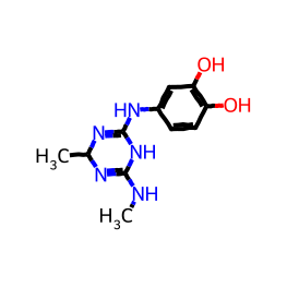 CNC1=NC(C)N=C(Nc2ccc(O)c(O)c2)N1